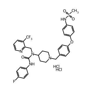 CS(=O)(=O)Nc1ccc(Oc2ccc(CN3CCC(N(Cc4ncccc4C(F)(F)F)C(=O)Nc4ccc(F)cc4)CC3)cc2)cc1.Cl.Cl